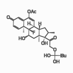 CCC(C)C(O)(O)OCC(=O)[C@]1(O)[C@H](C)C[C@H]2[C@@H]3C=C(OC(C)=O)C4=CC(=O)C=C[C@]4(C)[C@@]3(F)[C@H](O)C[C@@]21C